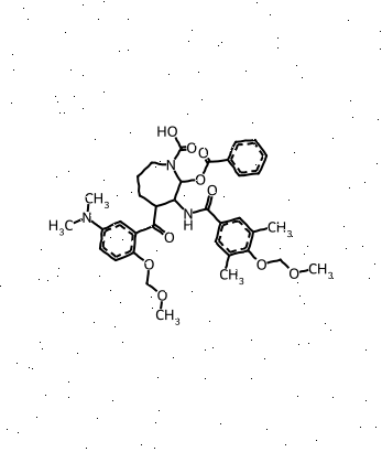 COCOc1ccc(N(C)C)cc1C(=O)C1CCCN(C(=O)O)C(OC(=O)c2ccccc2)C1NC(=O)c1cc(C)c(OCOC)c(C)c1